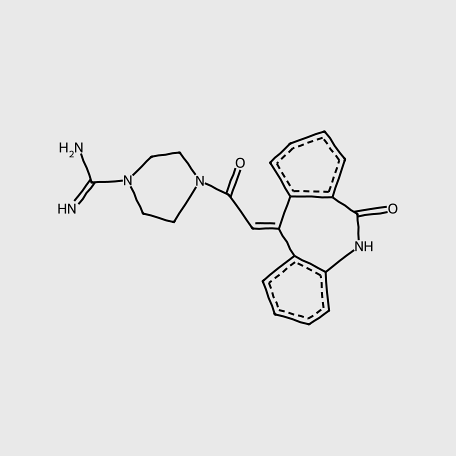 N=C(N)N1CCN(C(=O)C=C2c3ccccc3NC(=O)c3ccccc32)CC1